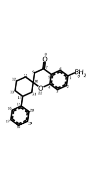 Bc1ccc2c(c1)C(=O)CC1(CCCC(c3ccccc3)C1)O2